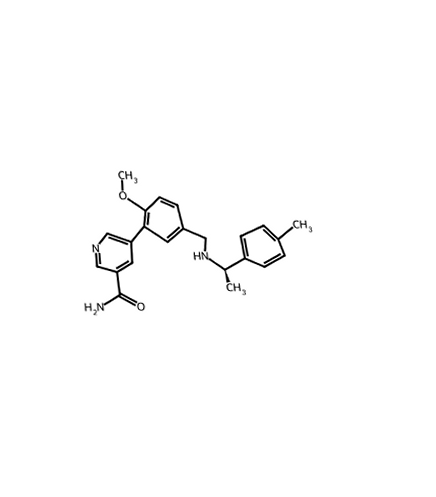 COc1ccc(CN[C@H](C)c2ccc(C)cc2)cc1-c1cncc(C(N)=O)c1